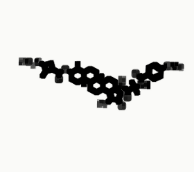 COc1ccc(C(=O)NC(C)(C)C(=O)NC23CCC4C(CCC5C4(C)CCC4C(C)C(OC(=O)C6CC(C(=O)O)C6C)CCC45C)C2=C(C(C)C)C(=O)C3)cc1